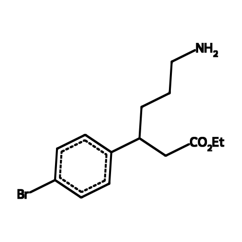 CCOC(=O)CC(CCCN)c1ccc(Br)cc1